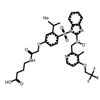 Cc1c(OCC(F)(F)F)ccnc1C[S+]([O-])c1nc2ccccc2n1S(=O)(=O)c1ccc(OCC(=O)NCCCC(=O)O)cc1C(C)C.[Na]